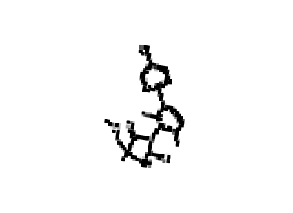 COCC1(C)NC(=O)C(c2c(C)ccc(-c3ccc(Cl)cc3)c2C)C1=O